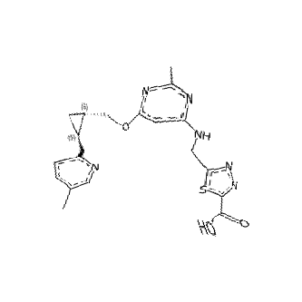 Cc1ccc([C@H]2C[C@@H]2COc2cc(NCc3nnc(C(=O)O)s3)nc(C)n2)nc1